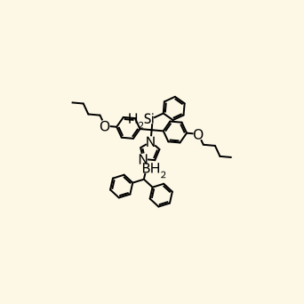 BC(c1ccccc1)c1ccccc1.CCCCOc1ccc(C([SiH2]c2ccccc2)(c2ccc(OCCCC)cc2)n2ccnc2)cc1